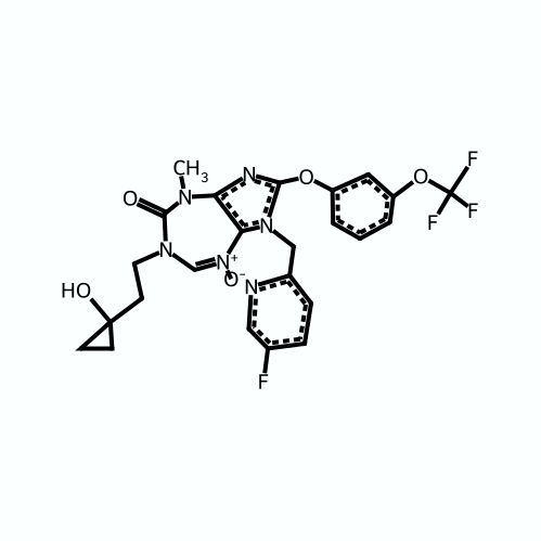 CN1C(=O)N(CCC2(O)CC2)C=[N+]([O-])c2c1nc(Oc1cccc(OC(F)(F)F)c1)n2Cc1ccc(F)cn1